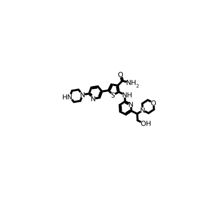 NC(=O)c1cc(-c2ccc(N3CCNCC3)nc2)sc1Nc1cccc(C(CO)N2CCOCC2)n1